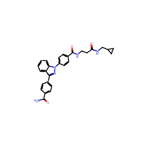 NC(=O)c1ccc(-c2nn(-c3ccc(C(=O)NCCC(=O)NCC4CC4)cc3)c3ccccc23)cc1